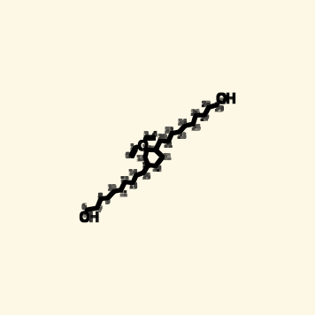 C=COC=C.OCCCCCCCCCCC1CCC(CCCCCCCCCCO)CC1